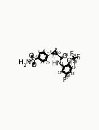 NS(=O)(=O)c1ccc([C@@H]2C[C@H]2C(=O)Nc2cc(F)ccc2OC(F)(F)F)cc1